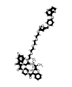 CN[C@@H](C)C(=O)N[C@H](C(=O)N1CCN(C(=O)c2c(F)c3cc(F)ccc3n2CC(=O)N(C)CCOCCOCCOCCOc2cc(CN3CCC(Oc4ccnc5ccsc45)CC3)on2)CC1)C1CCCCC1